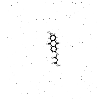 O=C(O)CC(=O)Oc1ccc2c(c1)C(=O)c1ccc(O)cc1C2=O